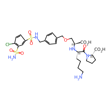 NCCCC[C@H](N[C@@H](COCc1ccc(CNS(=O)(=O)c2ccc(Cl)c(S(N)(=O)=O)c2)cc1)C(=O)O)C(=O)N1CCC[C@H]1C(=O)O